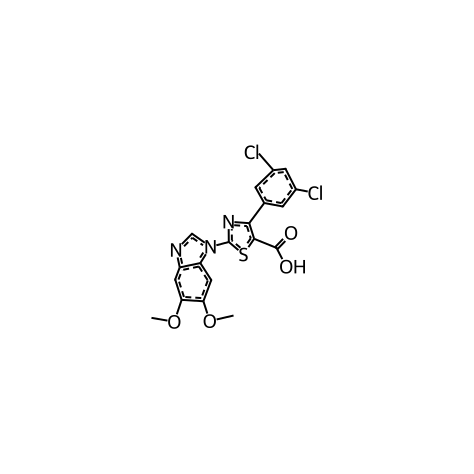 COc1cc2ncn(-c3nc(-c4cc(Cl)cc(Cl)c4)c(C(=O)O)s3)c2cc1OC